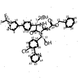 CC(C)(C)C[C@]1(c2ccc(-c3cnn(C(F)F)c3)cc2)NC(=NC(=O)OCc2ccccc2)N([C@H](CO)c2ccc(Cl)c(-c3ccccn3)c2)C1=O